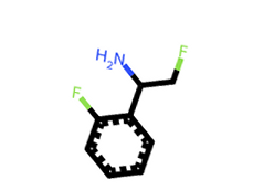 NC(CF)c1ccccc1F